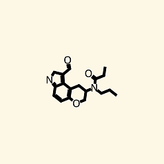 CCCN(C(=O)CC)C1COc2ccc3c(c2C1)=C(C=O)CN=3